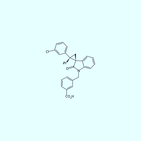 CC(C)[C@@]1(c2cccc(Cl)c2)C[C@@]12C(=O)N(Cc1cccc(C(=O)O)c1)c1ccccc12